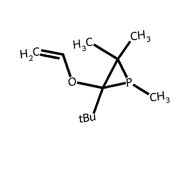 C=COC1(C(C)(C)C)P(C)C1(C)C